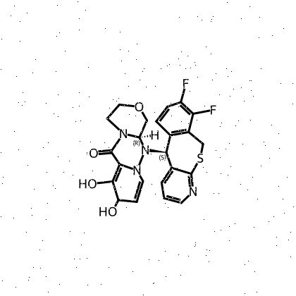 O=C1C2=C(O)C(O)C=CN2N([C@@H]2c3cccnc3SCc3c2ccc(F)c3F)[C@@H]2COCCN12